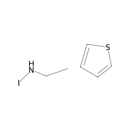 CCNI.c1ccsc1